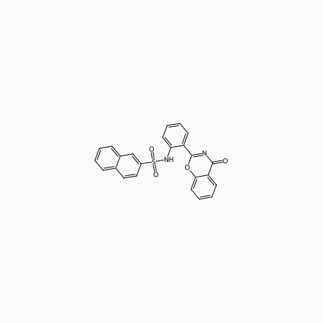 O=c1nc(-c2ccccc2NS(=O)(=O)c2ccc3ccccc3c2)oc2ccccc12